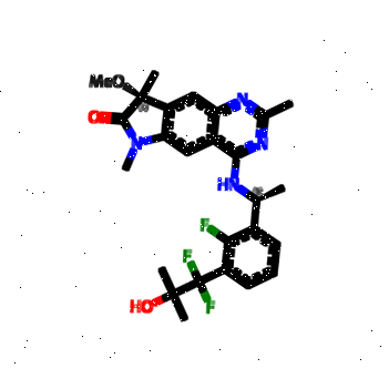 CO[C@]1(C)C(=O)N(C)c2cc3c(N[C@@H](C)c4cccc(C(F)(F)C(C)(C)O)c4F)nc(C)nc3cc21